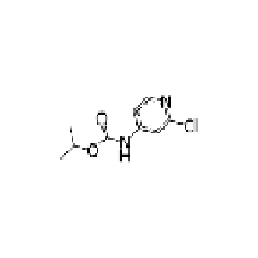 CC(C)OC(=O)Nc1ccnc(Cl)c1